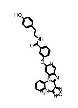 Nc1nonc1-c1nc2cnc(Oc3cccc(C(=O)NCCc4ccc(O)cc4)c3)cc2n1-c1ccccc1